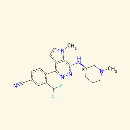 CN1CCC[C@@H](Nc2nnc(-c3ccc(C#N)cc3C(F)F)c3ccn(C)c23)C1